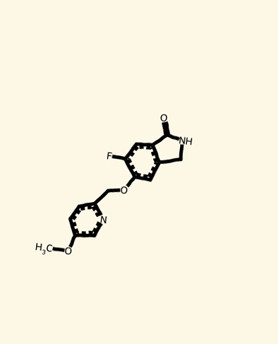 COc1ccc(COc2cc3c(cc2F)C(=O)NC3)nc1